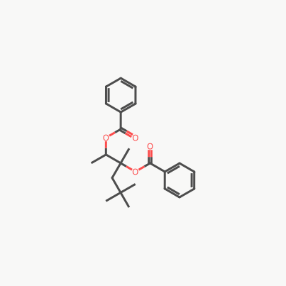 CC(OC(=O)c1ccccc1)C(C)(CC(C)(C)C)OC(=O)c1ccccc1